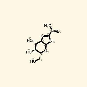 CCN(C)C1=NC2C(O[C@H](CO)[C@@H](O)[C@@H]2O)S1